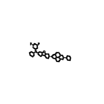 Fc1cc(F)cc(N(c2ccccc2)c2ccc3c(c2)oc2cc(-c4cc5ccc6cc(-c7ccccc7)cc7ccc(c4)c5c67)ccc23)c1